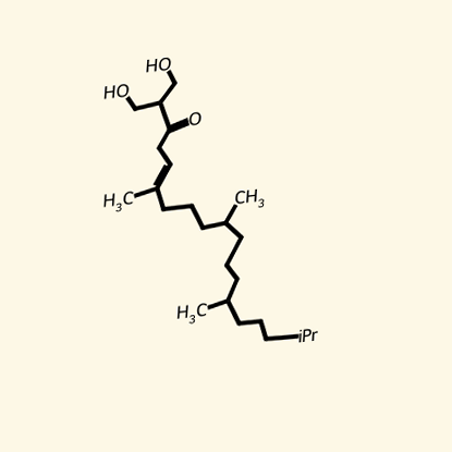 CC(=CCC(=O)C(CO)CO)CCCC(C)CCCC(C)CCCC(C)C